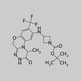 CC1C(=O)NN=C2COc3cc(C(F)(F)F)c(NC4CN(C(=O)OC(C)(C)C)C4)cc3N21